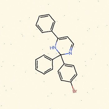 Brc1ccc(C2(c3ccccc3)N=CC=C(c3ccccc3)N2)cc1